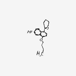 CCCCOc1ccc(C2CCCS2)c2ccccc12.F